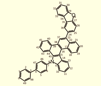 c1ccc(-c2ccc(-n3c4ccccc4c4c5c6ccccc6c(-c6ccc7oc8ccccc8c7c6)cc5c5ccccc5c43)cc2)cc1